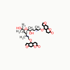 C/C(=C\COc1c2ccoc2cc2oc(=O)ccc12)CCC(OC(C)(C)C(O)CC/C(C)=C/COc1c2ccoc2cc2oc(=O)ccc12)C(C)(C)O